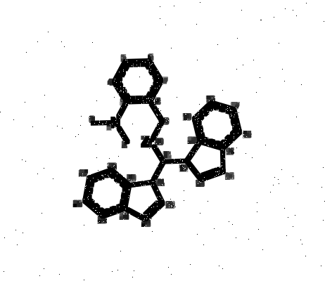 CN(C)c1ccccc1[CH2][Zr][CH](C1C=Cc2ccccc21)C1C=Cc2ccccc21